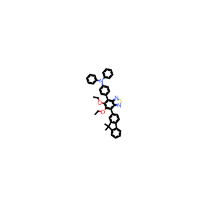 CCOc1c(OCC)c(-c2ccc3c(c2)C(C)(C)c2ccccc2-3)c2nsnc2c1-c1ccc(N(c2ccccc2)c2ccccc2)cc1